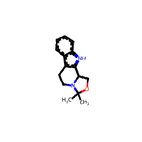 CC1(C)OCC2c3[nH]c4ccccc4c3CCN21